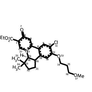 CCOC(=O)c1cn2c(cc1=O)-c1cc(Cl)c(OCCCOC)cc1C1CCC(C)(C)[C@H]12